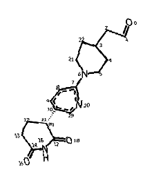 O=CCC1CCN(c2ccc([C@H]3CCC(=O)NC3=O)cn2)CC1